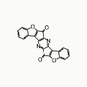 O=c1c2nc3c(nc2c2c1oc1ccccc12)c(=O)c1oc2ccccc2c13